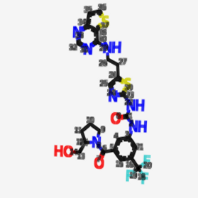 O=C(Nc1cc(C(=O)N2CCC[C@@H]2CO)cc(C(F)(F)F)c1)Nc1ncc(CCNc2ncnc3ccsc23)s1